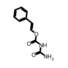 NC(=O)NC(=O)OC=Cc1ccccc1